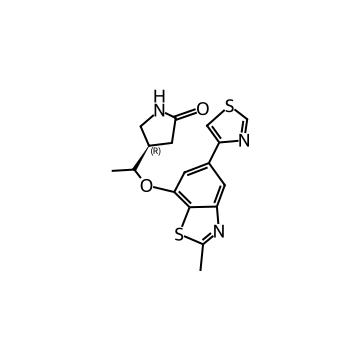 Cc1nc2cc(-c3cscn3)cc(OC(C)[C@H]3CNC(=O)C3)c2s1